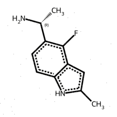 Cc1cc2c(F)c([C@@H](C)N)ccc2[nH]1